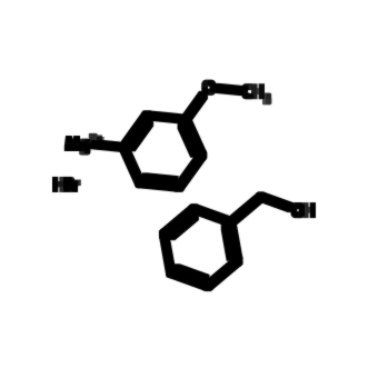 Br.COc1ccc[c]([Mg+2])c1.OCc1ccccc1